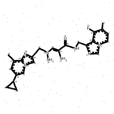 Cc1ccn2cnc(CNC(=O)/C(N)=C/N(N)Cc3cn4cc(C5CC5)cc(C)c4n3)c2c1F